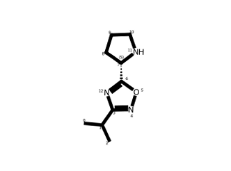 CC(C)c1noc([C@@H]2CCCN2)n1